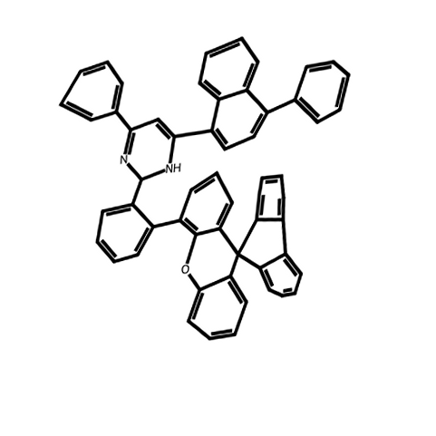 C1=C(c2ccc(-c3ccccc3)c3ccccc23)NC(c2ccccc2-c2cccc3c2Oc2ccccc2C32c3ccccc3-c3ccccc32)N=C1c1ccccc1